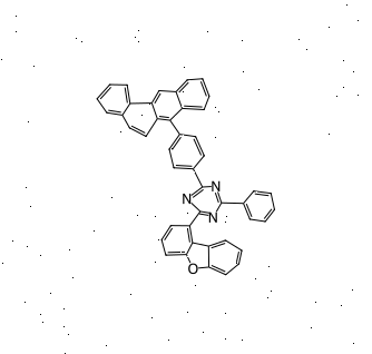 c1ccc(-c2nc(-c3ccc(-c4c5ccccc5cc5c4ccc4ccccc45)cc3)nc(-c3cccc4oc5ccccc5c34)n2)cc1